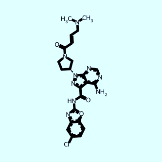 CN(C)CC=CC(=O)N1CC[C@@H](n2nc(C(=O)Nc3nc4cc(Cl)ccc4o3)c3c(N)ncnc32)C1